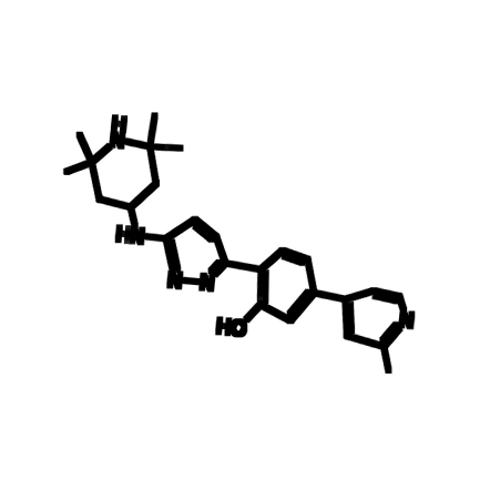 Cc1cc(-c2ccc(-c3ccc(NC4CC(C)(C)NC(C)(C)C4)nn3)c(O)c2)ccn1